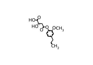 C=CCc1ccc(OC(=O)C[C@H](O)C(=O)O)c(OC)c1